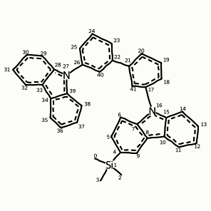 C[Si](C)(C)c1ccc2c(c1)c1ccccc1n2-c1cccc(-c2cccc(-n3c4ccccc4c4ccccc43)c2)c1